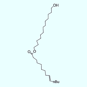 CCCCC=CCCCCCCCC(=O)OCCCCCCCCCCCCCO